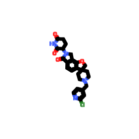 O=C1CCC(N2Cc3c(ccc4c3OCC43CCN(Cc4ccnc(Cl)c4)CC3)C2=O)C(=O)N1